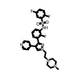 CN1CCN(CCn2cc(-c3ccncc3)c(-c3cccc(NS(=O)(=O)c4cc(F)ccc4F)c3F)n2)CC1